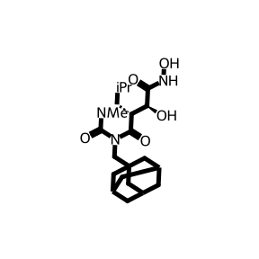 CNC(=O)N(CC12CC3CC(CC(C3)C1)C2)C(=O)[C@H](CC(C)C)[C@H](O)C(=O)NO